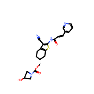 N#Cc1c(NC(=O)C=Cc2cccnc2)sc2c1CC[C@@H](COC(=O)N1CC(O)C1)C2